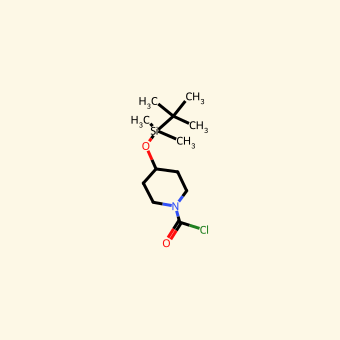 CC(C)(C)[Si](C)(C)OC1CCN(C(=O)Cl)CC1